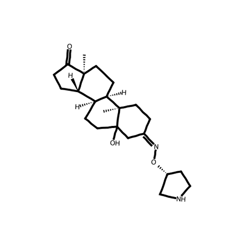 C[C@]12CC[C@@H]3[C@@H](CCC4(O)CC(=NO[C@@H]5CCNC5)CC[C@]34C)[C@@H]1CCC2=O